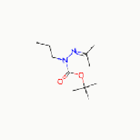 CCCN(N=C(C)C)C(=O)OC(C)(C)C